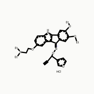 C#CC(O/N=C1/c2cc(OCC)c(OCC)cc2-c2[nH]c3ccc(OCCN(CC)CC)cc3c21)c1ccoc1.Cl